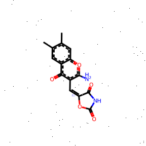 Cc1cc2oc(N)c(/C=C3/OC(=O)NC3=O)c(=O)c2cc1C